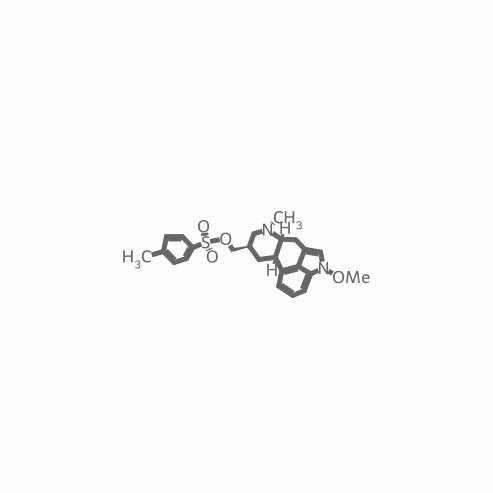 COn1cc2c3c(cccc31)[C@H]1C[C@@H](COS(=O)(=O)c3ccc(C)cc3)CN(C)[C@@H]1C2